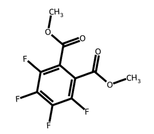 COC(=O)c1c(F)c(F)c(F)c(F)c1C(=O)OC